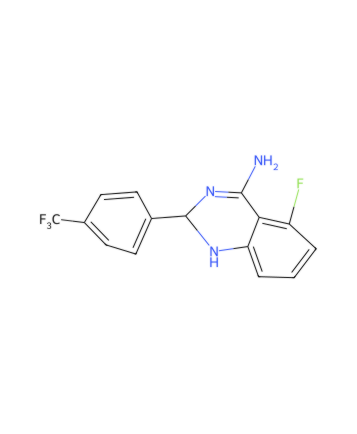 NC1=NC(c2ccc(C(F)(F)F)cc2)Nc2cccc(F)c21